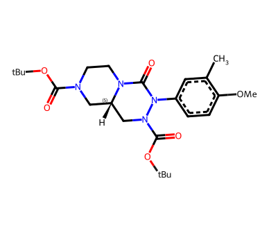 COc1ccc(N2C(=O)N3CCN(C(=O)OC(C)(C)C)C[C@H]3CN2C(=O)OC(C)(C)C)cc1C